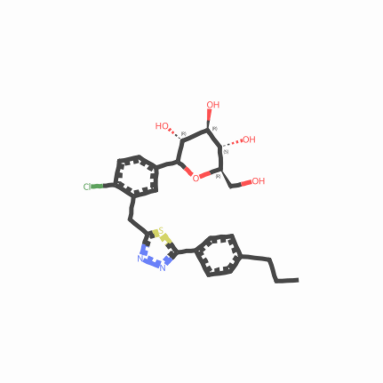 CCCc1ccc(-c2nnc(Cc3cc(C4O[C@H](CO)[C@@H](O)[C@H](O)[C@H]4O)ccc3Cl)s2)cc1